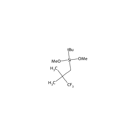 CO[Si](CC(C)(C)C(F)(F)F)(OC)C(C)(C)C